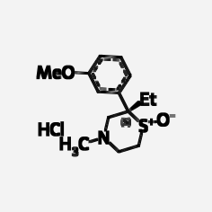 CC[C@]1(c2cccc(OC)c2)CN(C)CC[S+]1[O-].Cl